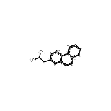 CC(C)Cc1cnc2c(ccc3ccccc32)c1